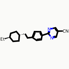 CC[C@H]1CC[C@H](CCc2ccc(-c3ncc(C#N)cn3)cc2)CC1